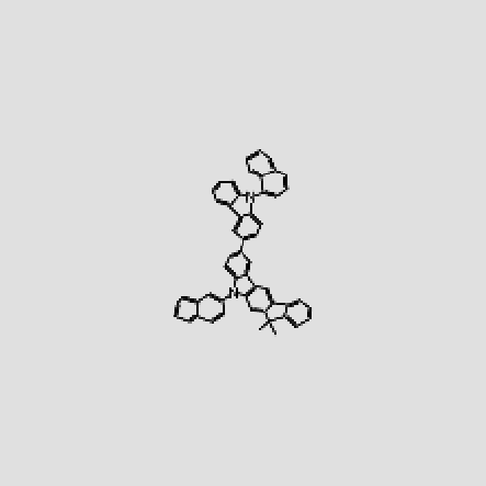 CC1(C)c2ccccc2-c2cc3c4cc(-c5ccc6c(c5)c5ccccc5n6-c5cccc6ccccc56)ccc4n(-c4ccc5ccccc5c4)c3cc21